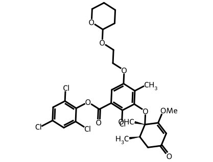 COC1=CC(=O)C[C@@H](C)[C@]1(C=O)Oc1c(C)c(OCCOC2CCCCO2)cc(C(=O)Oc2c(Cl)cc(Cl)cc2Cl)c1Cl